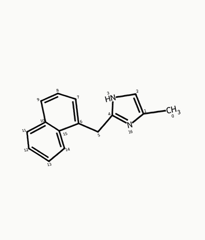 Cc1c[nH]c(Cc2cccc3ccccc23)n1